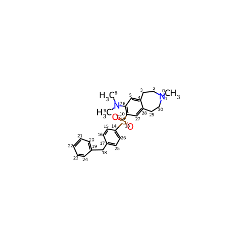 CN1CCc2cc(N(C)C)c(S(=O)(=O)c3ccc(Cc4ccccc4)cc3)cc2CC1